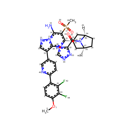 COc1ccc(-c2ccc(-c3cnn4c(N)c(S(C)(=O)=O)c([C@@H]5C[C@H]6CC[C@@H](C5)N6C(=O)c5nnc[nH]5)nc34)cn2)c(F)c1F